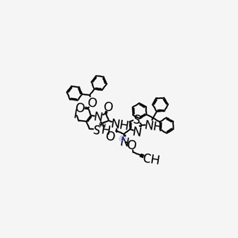 C#CCO/N=C(/C(=O)NC1C(=O)N2C(C(=O)OC(c3ccccc3)c3ccccc3)=C(CI)CS[C@H]12)c1csc(NC(c2ccccc2)(c2ccccc2)c2ccccc2)n1